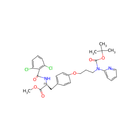 COC(=O)[C@H](Cc1ccc(OCCCN(C(=O)OC(C)(C)C)c2ccccn2)cc1)NC(=O)c1c(Cl)cccc1Cl